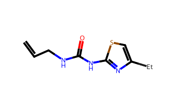 C=CCNC(=O)Nc1nc(CC)cs1